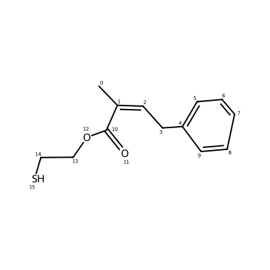 CC(=CCc1ccccc1)C(=O)OCCS